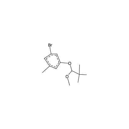 COC(Oc1cc(C)cc(Br)c1)C(C)(C)C